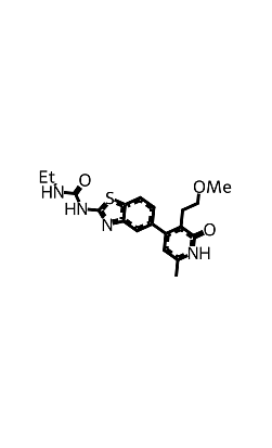 CCNC(=O)Nc1nc2cc(-c3cc(C)[nH]c(=O)c3CCOC)ccc2s1